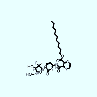 CCCCCCCCCCCOC(=O)c1nccnc1C(=O)Nc1ccn([C@@H]2O[C@H](CO)[C@@H](O)C2(F)F)c(=O)n1